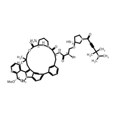 CCn1c(-c2cccnc2[C@H](C)OC)c2c3cc(ccc31)-c1cccc(c1)C[C@H](NC(=O)[C@@H](CO[C@@]1(S)CCN(C(=O)C#CC(C)(C)N(C)C)C1)C(C)C)C(=O)N1CCC[C@@]([SiH3])(N1)C(=O)OCC(C)(C)C2